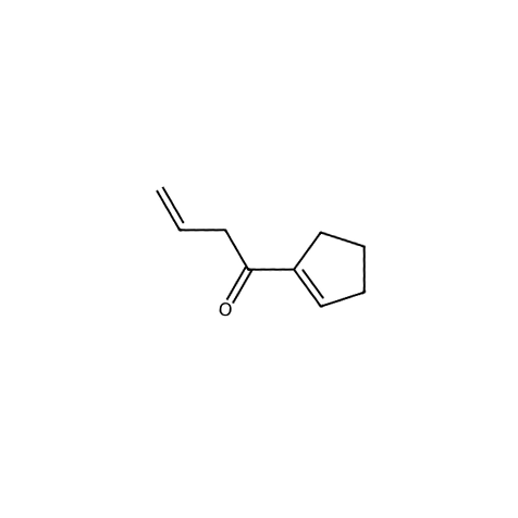 C=CCC(=O)C1=CCCC1